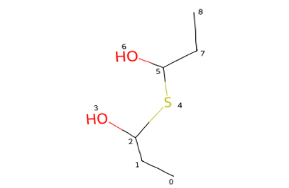 CCC(O)SC(O)CC